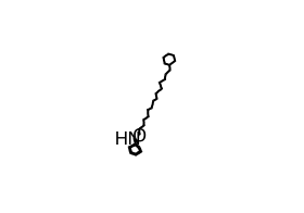 c1ccc(NOCCCCCCCCCCCCCCC2CCCCC2)cc1